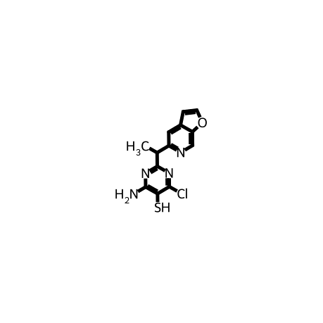 CC(c1cc2ccoc2cn1)c1nc(N)c(S)c(Cl)n1